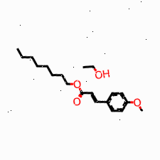 CCCCCCCCOC(=O)C=Cc1ccc(OC)cc1.CCO